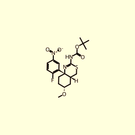 CO[C@@H]1CC[C@]2(c3cc([N+](=O)[O-])ccc3F)N=C(NC(=O)OC(C)(C)C)SC[C@@H]2C1